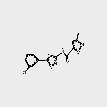 Cc1cc(C(=O)Nc2nnc(-c3cccc(Cl)c3)s2)on1